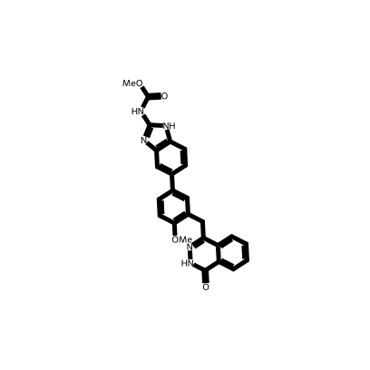 COC(=O)Nc1nc2cc(-c3ccc(OC)c(Cc4n[nH]c(=O)c5ccccc45)c3)ccc2[nH]1